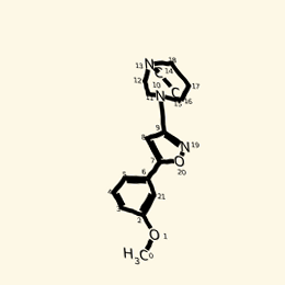 COc1cccc(-c2cc(N3CCN4CCC3CC4)no2)c1